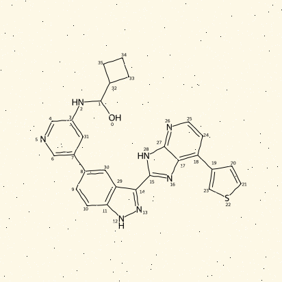 OC(Nc1cncc(-c2ccc3[nH]nc(-c4nc5c(-c6ccsc6)ccnc5[nH]4)c3c2)c1)C1CCC1